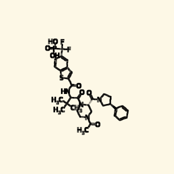 CC(=O)N1CCN(C(=O)C(NC(=O)c2cc3cc(C(F)(F)P(=O)(O)O)ccc3s2)C(C)(C)C)[C@H](C(=O)N2CC[C@@H](c3ccccc3)C2)C1